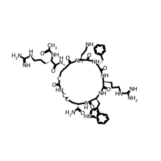 CC(=O)N[C@@H](CCCNC(=N)N)C(=O)N[C@H]1CCC(=O)NCCC[C@@H](C(N)=O)NC(=O)[C@H](Cc2c[nH]c3ccccc23)NC(=O)[C@H](CCCNC(=N)N)NC(=O)[C@@H](Cc2ccccc2)NC(=O)[C@H](CCN)NC1=O